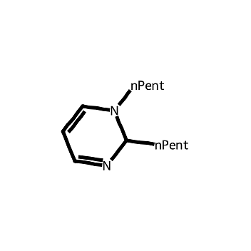 CCCCCC1N=CC=CN1CCCCC